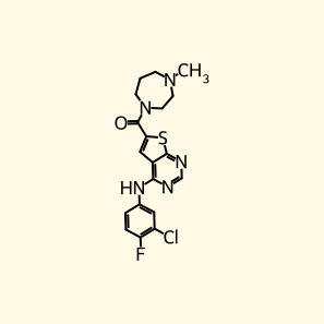 CN1CCCN(C(=O)c2cc3c(Nc4ccc(F)c(Cl)c4)ncnc3s2)CC1